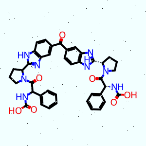 O=C(O)NC(C(=O)N1CCCC1c1nc2cc(C(=O)c3ccc4[nH]c([C@@H]5CCCN5C(=O)[C@H](NC(=O)O)c5ccccc5)nc4c3)ccc2[nH]1)c1ccccc1